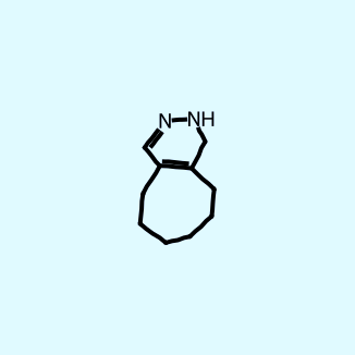 C1=NNCC2=C1CCCCCC2